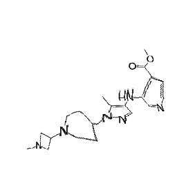 COC(=O)c1ccncc1Nc1cnn(C2CCN(C3CN(C)C3)CC2)c1C